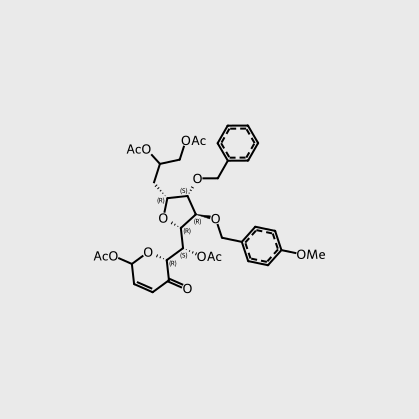 COc1ccc(CO[C@H]2[C@H]([C@H](OC(C)=O)[C@H]3OC(OC(C)=O)C=CC3=O)O[C@H](CC(COC(C)=O)OC(C)=O)[C@@H]2OCc2ccccc2)cc1